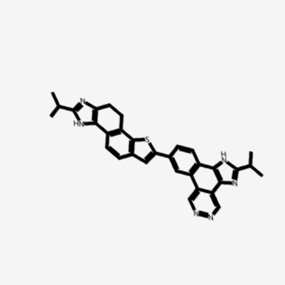 CC(C)c1nc2c([nH]1)-c1ccc3cc(-c4ccc5c(c4)c4cnncc4c4nc(C(C)C)[nH]c54)sc3c1CC2